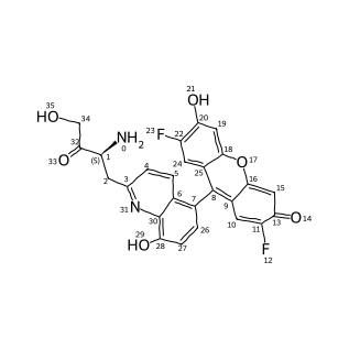 N[C@@H](Cc1ccc2c(-c3c4cc(F)c(=O)cc-4oc4cc(O)c(F)cc34)ccc(O)c2n1)C(=O)CO